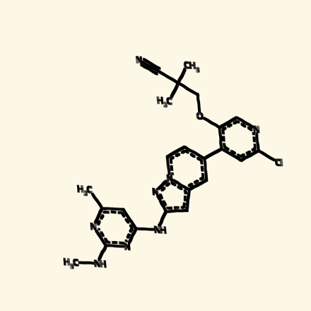 CNc1nc(C)cc(Nc2cc3cc(-c4cc(Cl)ncc4OCC(C)(C)C#N)ccn3n2)n1